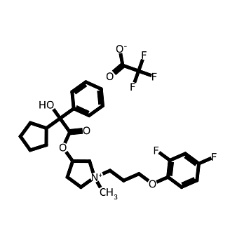 C[N+]1(CCCOc2ccc(F)cc2F)CCC(OC(=O)C(O)(c2ccccc2)C2CCCC2)C1.O=C([O-])C(F)(F)F